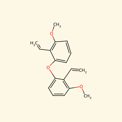 C=Cc1c(OC)cccc1Oc1cccc(OC)c1C=C